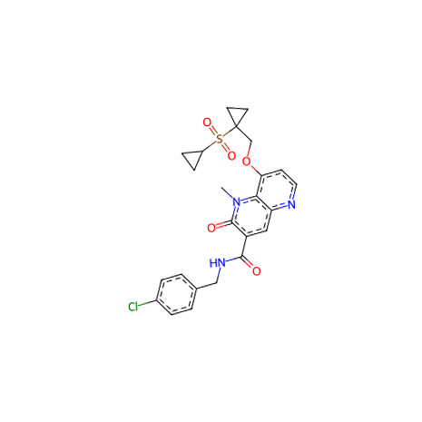 Cn1c(=O)c(C(=O)NCc2ccc(Cl)cc2)cc2nccc(OCC3(S(=O)(=O)C4CC4)CC3)c21